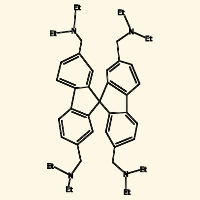 CCN(CC)Cc1ccc2c(c1)C1(c3cc(CN(CC)CC)ccc3-2)c2cc(CN(CC)CC)ccc2-c2ccc(CN(CC)CC)cc21